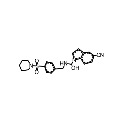 N#Cc1ccc2c(ccn2C(O)NCc2ccc(S(=O)(=O)N3CCCCC3)cc2)c1